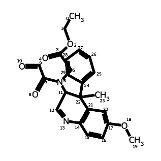 CCOC(=O)CN(C(=O)C=O)C1C=Nc2ccc(OC)cc2C1(C)c1ccccc1